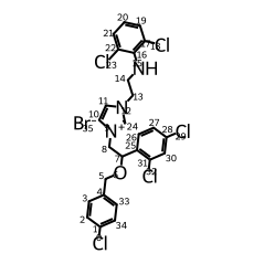 Clc1ccc(COC(C[n+]2ccn(CCNc3c(Cl)cccc3Cl)c2)c2ccc(Cl)cc2Cl)cc1.[Br-]